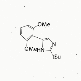 COc1cccc(OC)c1-c1cnc(C(C)(C)C)[nH]1